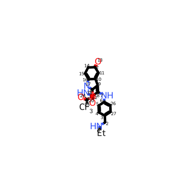 CCNCc1ccc(NC2=C3C4=CC(=O)CC=C4N(NC2=O)C3OC(=O)C(F)(F)F)cc1